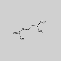 N[C@@H](CCO[PH](=O)O)C(=O)O